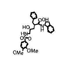 COc1ccc(S(=O)(=O)NC[C@@H](O)C[C@@H](Cc2ccccc2)C(=O)N[C@H]2c3ccccc3C[C@H]2O)cc1OC